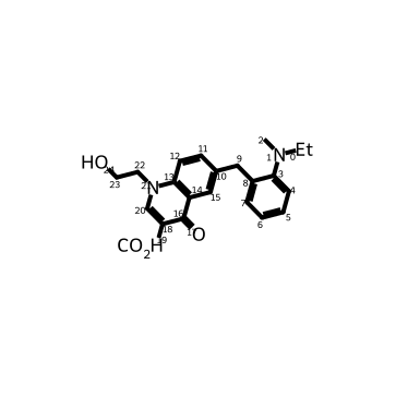 CCN(C)c1ccccc1Cc1ccc2c(c1)c(=O)c(C(=O)O)cn2CCO